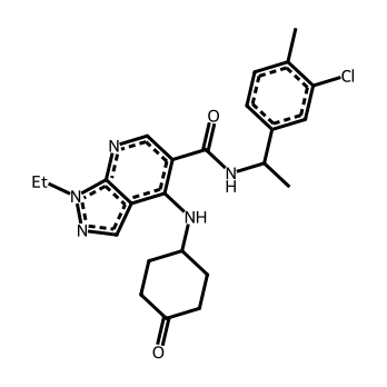 CCn1ncc2c(NC3CCC(=O)CC3)c(C(=O)NC(C)c3ccc(C)c(Cl)c3)cnc21